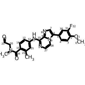 COc1ccc(-c2cnc3c(Nc4ccc(C(=O)N(C)CC=O)c(C)c4)nccn23)cc1F